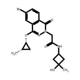 C[C@H]1C[C@H]1Oc1nn(CC(=O)NC2CC(C)(O)C2)c(=O)c2ccc(Br)cc12